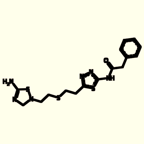 NC1=NCN(CCSCCc2nnc(NC(=O)Cc3ccccc3)s2)S1